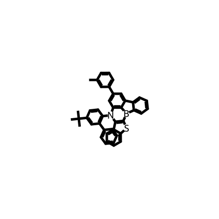 Cc1cccc(-c2cc3c4c(c2)N(c2ccc(C(C)(C)C)cc2-c2ccccc2)c2c(sc5ccccc25)B4c2ccccc2-3)c1